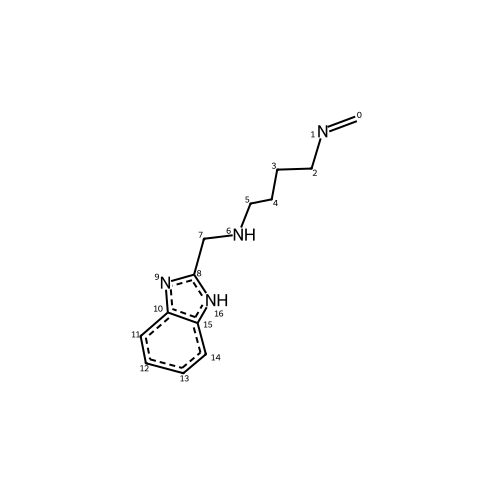 C=NCCCCNCc1nc2ccccc2[nH]1